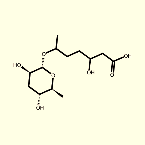 CC(CCC(O)CC(=O)O)O[C@@H]1O[C@@H](C)[C@H](O)C[C@H]1O